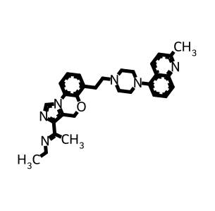 CC/N=C(\C)c1ncn2c1COc1c(CCN3CCN(c4cccc5nc(C)ccc45)CC3)cccc1-2